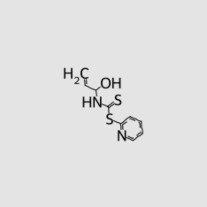 C=CC(O)NC(=S)Sc1ccccn1